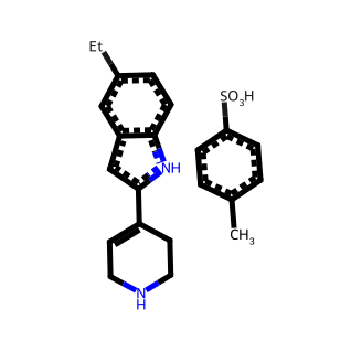 CCc1ccc2[nH]c(C3=CCNCC3)cc2c1.Cc1ccc(S(=O)(=O)O)cc1